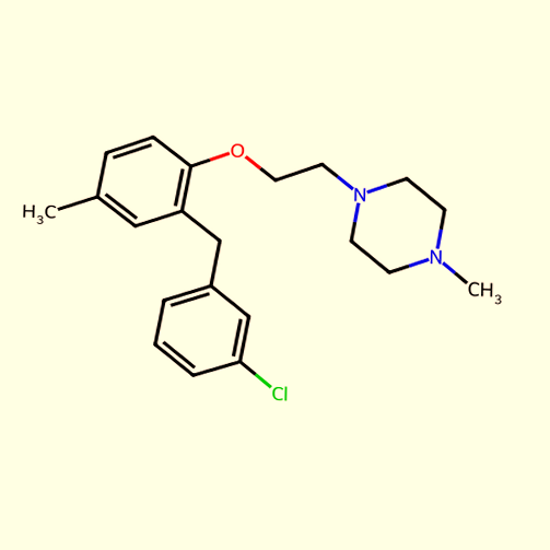 Cc1ccc(OCCN2CCN(C)CC2)c(Cc2cccc(Cl)c2)c1